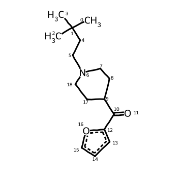 CC(C)(C)CCN1CCC(C(=O)c2ccco2)CC1